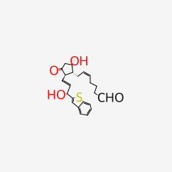 O=CCCC/C=C\C[C@H]1[C@@H](O)CC(=O)[C@@H]1/C=C/[C@@H](O)c1cc2ccccc2s1